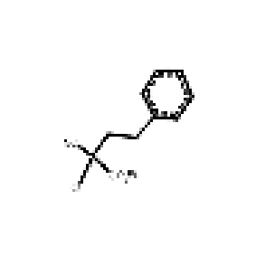 CCOC(=O)C(Cl)(C#N)CCc1ccccc1